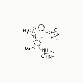 COc1nc(N2CC(C)(Oc3ccccc3)C2)c(F)cc1CNC(=O)C1CCCN1.O=C(O)C(F)(F)F